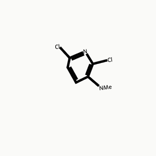 CNc1ccc(Cl)nc1Cl